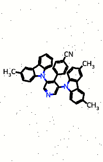 Cc1ccc2c(c1)c1ccccc1n2-c1cncc(-n2c3ccc(C)cc3c3cc(C)ccc32)c1-c1ccc(C#N)cc1